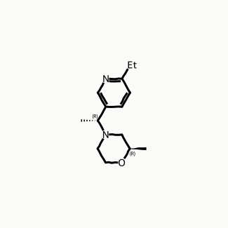 CCc1ccc([C@@H](C)N2CCO[C@H](C)C2)cn1